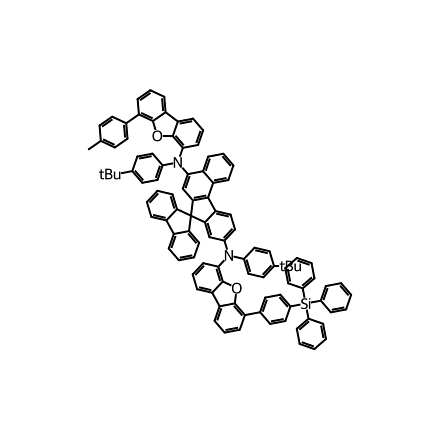 Cc1ccc(-c2cccc3c2oc2c(N(c4ccc(C(C)(C)C)cc4)c4cc5c(c6ccccc46)-c4ccc(N(c6ccc(C(C)(C)C)cc6)c6cccc7c6oc6c(-c8ccc([Si](c9ccccc9)(c9ccccc9)c9ccccc9)cc8)cccc67)cc4C54c5ccccc5-c5ccccc54)cccc23)cc1